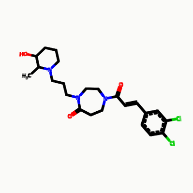 CC1C(O)CCCN1CCCN1CCN(C(=O)/C=C/c2ccc(Cl)c(Cl)c2)CCC1=O